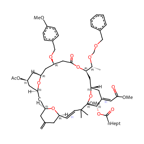 C=C1C[C@H]2C[C@H]3C[C@@H](OC(C)=O)C[C@@H](C[C@@H](OCc4ccc(OC)cc4)CC(=O)O[C@@H]([C@@H](C)OCOCc4ccccc4)C[C@@H]4C/C(=C\C(=O)OC)[C@H](OC(=O)CCCCCCC)[C@@](OC)(O4)C(C)(C)/C=C/[C@@H](C1)O2)O3